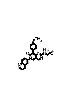 COc1ccc(-c2c(=O)n(-c3ccc4ncccc4c3)cc3cnc(NCC(F)(F)F)nc23)cc1